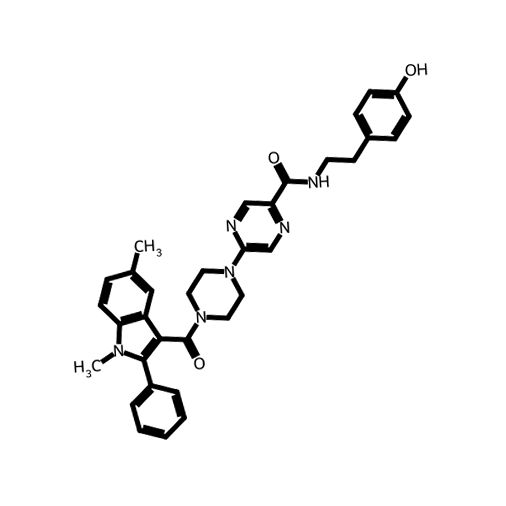 Cc1ccc2c(c1)c(C(=O)N1CCN(c3cnc(C(=O)NCCc4ccc(O)cc4)cn3)CC1)c(-c1ccccc1)n2C